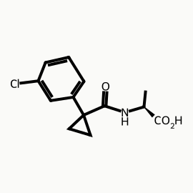 C[C@H](NC(=O)C1(c2cccc(Cl)c2)CC1)C(=O)O